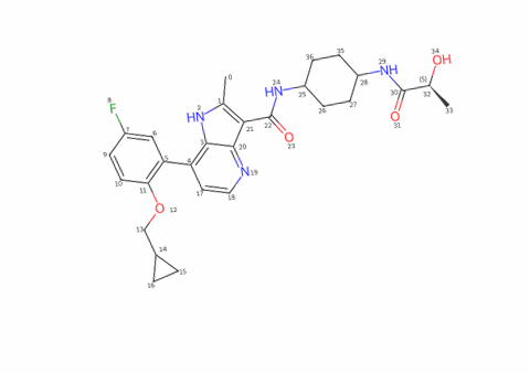 Cc1[nH]c2c(-c3cc(F)ccc3OCC3CC3)ccnc2c1C(=O)NC1CCC(NC(=O)[C@H](C)O)CC1